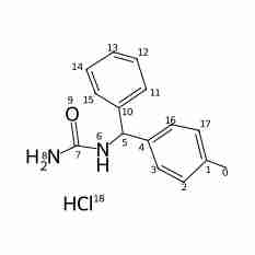 Cc1ccc(C(NC(N)=O)c2ccccc2)cc1.Cl